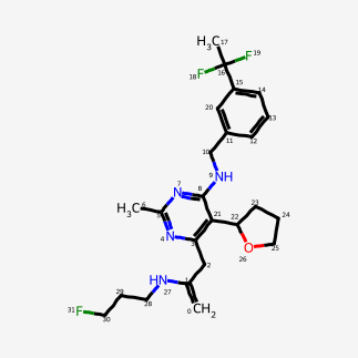 C=C(Cc1nc(C)nc(NCc2cccc(C(C)(F)F)c2)c1C1CCCO1)NCCCF